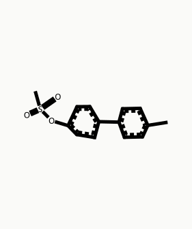 Cc1ccc(-c2ccc(OS(C)(=O)=O)cc2)cc1